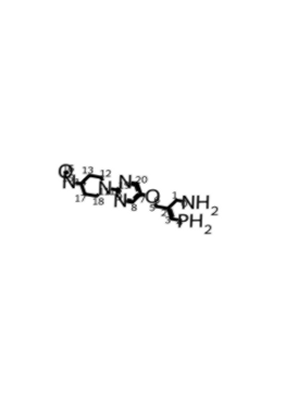 NC/C(=C\P)COc1cnc(N2CCC(N=O)CC2)nc1